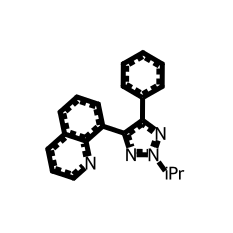 CC(C)n1nc(-c2ccccc2)c(-c2cccc3cccnc23)n1